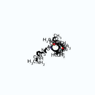 CCC(=O)/N=C1\[C@H](C)C[C@@]2(C)OC/C(=N/OCc3csc(-c4cccc(NC(=O)[C@H](C)N)n4)n3)CC[C@H]([C@H]1C)[C@](C)(O)[C@@H](CC)OC(=O)[C@@](C)(F)C(=O)[C@H](C)[C@H]2O[C@@H]1O[C@H](C)C[C@H](N(C)C)[C@H]1O